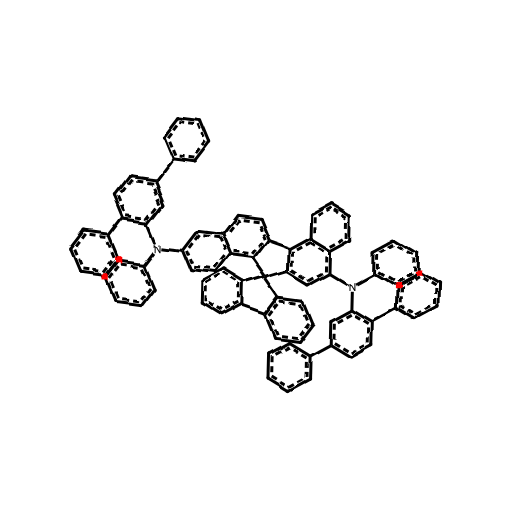 c1ccc(-c2ccc(-c3ccccc3)c(N(c3ccccc3)c3ccc4c5c(ccc4c3)-c3c(cc(N(c4ccccc4)c4cc(-c6ccccc6)ccc4-c4ccccc4)c4ccccc34)C53c4ccccc4-c4ccccc43)c2)cc1